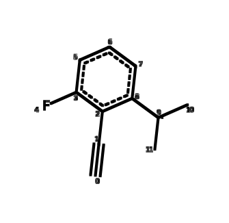 C#Cc1c(F)cccc1[C](C)C